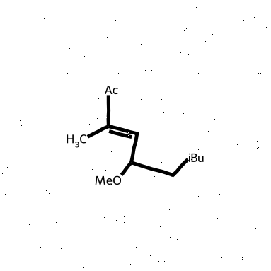 CCC(C)CC(C=C(C)C(C)=O)OC